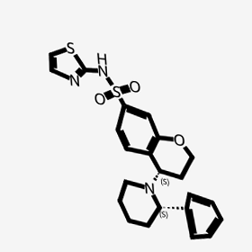 O=S(=O)(Nc1nccs1)c1ccc2c(c1)OCC[C@@H]2N1CCCC[C@H]1c1ccccc1